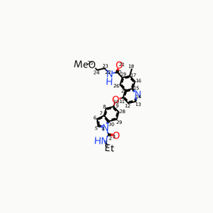 CCNC(=O)n1ccc2cc(Oc3ccnc4cc(C)c(C(=O)NCCOC)cc34)ccc21